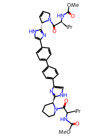 COC(=O)NC(C(=O)N1CCCC[C@H]1c1nc(-c2ccc(-c3ccc(-c4c[nH]c([C@@H]5C=CCN5C(=O)[C@@H](NC(=O)OC)C(C)C)n4)cc3)cc2)c[nH]1)C(C)C